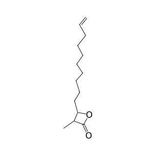 C=CCCCCCCCCC1OC(=O)C1C